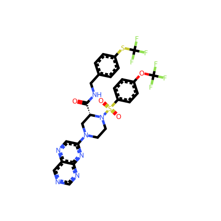 O=C(NCc1ccc(SC(F)(F)F)cc1)[C@H]1CN(c2cnc3cncnc3n2)CCN1S(=O)(=O)c1ccc(OC(F)(F)F)cc1